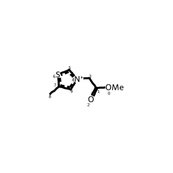 COC(=O)C[n+]1csc(C)c1